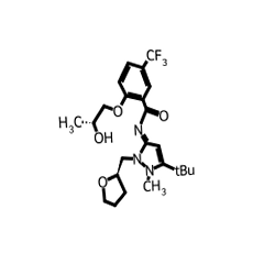 C[C@@H](O)COc1ccc(C(F)(F)F)cc1C(=O)N=c1cc(C(C)(C)C)n(C)n1C[C@H]1CCCO1